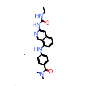 CCNC(=O)Nc1cc2cccc(Nc3ccc(C(=O)N(C)C)cc3)c2cn1